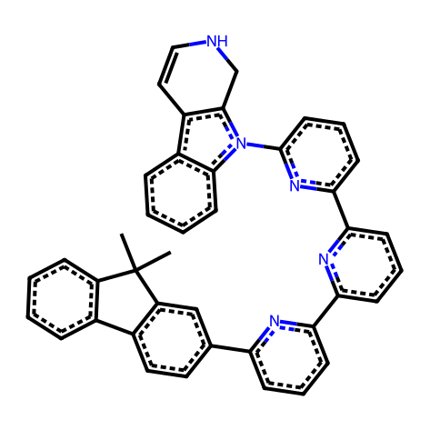 CC1(C)c2ccccc2-c2ccc(-c3cccc(-c4cccc(-c5cccc(-n6c7c(c8ccccc86)C=CNC7)n5)n4)n3)cc21